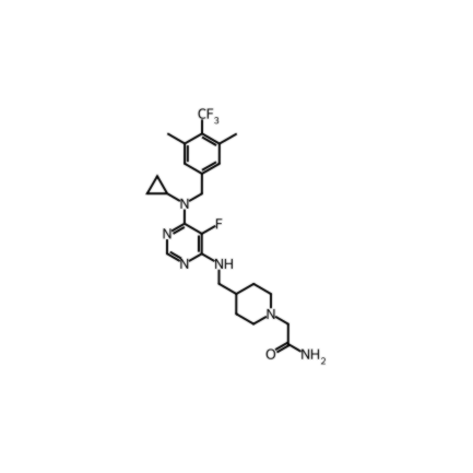 Cc1cc(CN(c2ncnc(NCC3CCN(CC(N)=O)CC3)c2F)C2CC2)cc(C)c1C(F)(F)F